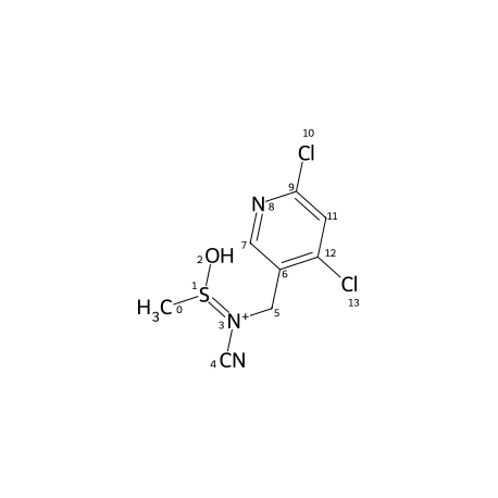 CS(O)=[N+](C#N)Cc1cnc(Cl)cc1Cl